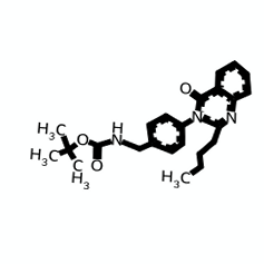 CCCCc1nc2ccccc2c(=O)n1-c1ccc(CNC(=O)OC(C)(C)C)cc1